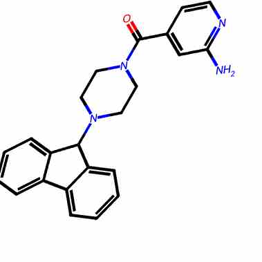 Nc1cc(C(=O)N2CCN(C3c4ccccc4-c4ccccc43)CC2)ccn1